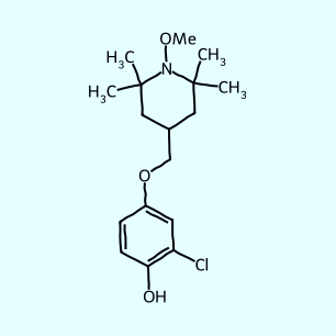 CON1C(C)(C)CC(COc2ccc(O)c(Cl)c2)CC1(C)C